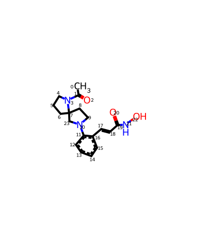 CC(=O)N1CCCC12CCN(c1ccccc1C=CC(=O)NO)C2